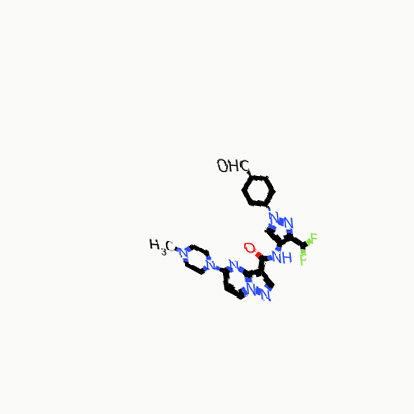 CN1CCN(c2ccn3ncc(C(=O)Nc4cn([C@H]5CC[C@H](C=O)CC5)nc4C(F)F)c3n2)CC1